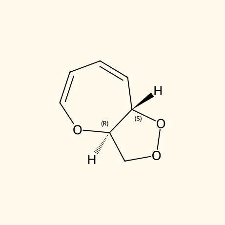 C1=CO[C@@H]2COO[C@H]2C=C1